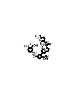 Nc1ccc(-c2nc(F)c([C@H]3CCc4cc(-c5cc(Cl)ccc5-n5cnnn5)cc(=O)n43)[nH]2)c(F)n1.O=C(O)c1cc(O)ccc1O